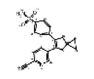 N#Cc1ccc(C2=C(c3ccc(S(N)(=O)=O)cc3)CC3(CC3)C2)cn1